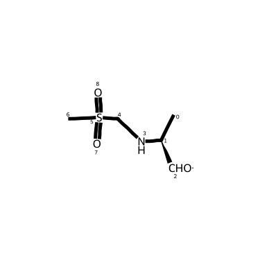 C[C@@H]([C]=O)NCS(C)(=O)=O